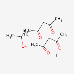 CC(=O)CC(C)=O.CC(=O)CC(C)=O.CC(C)O.[Ti]